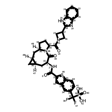 O=C(N[C@H]1C[C@H]2C[C@H]2C[C@H]2CC[C@@H](C(=O)N3CC(c4nc5ccccc5[nH]4)C3)N2C1=O)c1cc2cc(C(F)(F)P(=O)(O)O)ccc2s1